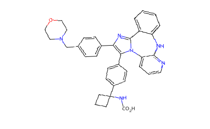 O=C(O)NC1(c2ccc(-c3c(-c4ccc(CN5CCOCC5)cc4)nc4n3-c3cccnc3Nc3ccccc3-4)cc2)CCC1